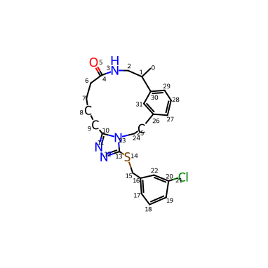 CC1CNC(=O)CCCCc2nnc(SCc3cccc(Cl)c3)n2CCc2cccc1c2